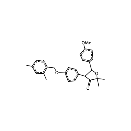 COc1ccc(C2OC(C)(C)C(=O)C2c2ccc(OCc3ncc(C)cc3C)cc2)cc1